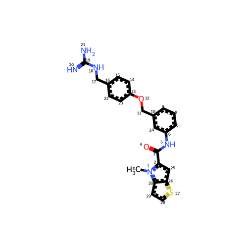 Cn1c(C(=O)Nc2cccc(COc3ccc(CNC(=N)N)cc3)c2)cc2sccc21